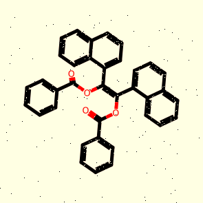 O=C(OC(=C(OC(=O)c1ccccc1)c1cccc2ccccc12)c1cccc2ccccc12)c1ccccc1